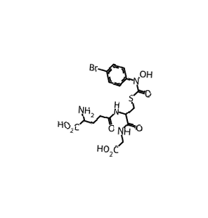 NC(CCC(=O)NC(CSC(=O)N(O)c1ccc(Br)cc1)C(=O)NCC(=O)O)C(=O)O